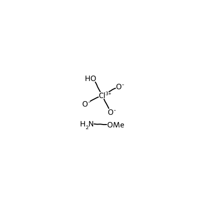 CON.[O-][Cl+3]([O-])([O-])O